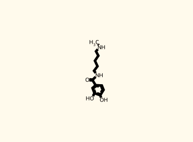 CNCCCCCNC(=O)c1ccc(O)c(O)c1